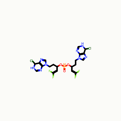 O=[PH](OC(C=C(F)F)CCn1cnc2c1N=CNC2Cl)OC(C=C(F)F)CCn1cnc2c1N=CNC2Cl